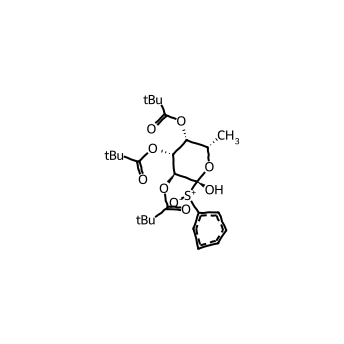 C[C@@H]1O[C@](O)([S+]([O-])c2ccccc2)[C@@H](OC(=O)C(C)(C)C)[C@H](OC(=O)C(C)(C)C)[C@@H]1OC(=O)C(C)(C)C